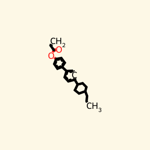 C=CC(=O)Oc1ccc(-c2ccc(C3CCC(CCC)CC3)cc2)cc1